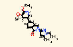 CCn1nc(N2Cc3cc(-c4cnc(OC)c(OC)c4)ccc3C2=O)cc1C